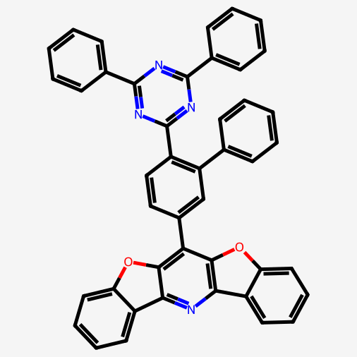 c1ccc(-c2nc(-c3ccccc3)nc(-c3ccc(-c4c5oc6ccccc6c5nc5c4oc4ccccc45)cc3-c3ccccc3)n2)cc1